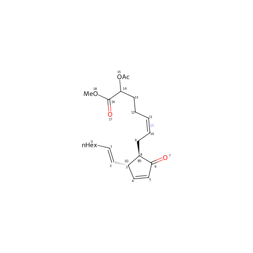 CCCCCCC=C[C@H]1C=CC(=O)[C@@H]1C/C=C\CCC(OC(C)=O)C(=O)OC